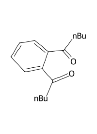 CCCCC(=O)c1ccccc1C(=O)CCCC